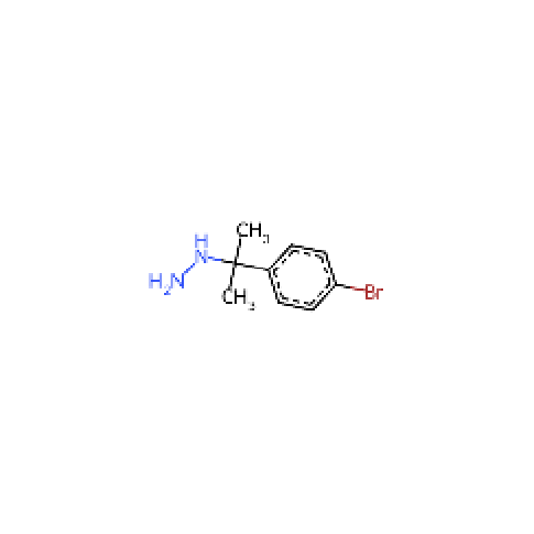 CC(C)(NN)c1ccc(Br)cc1